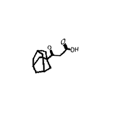 O=C(O)CC(=O)C12CC3CC(CC(C3)C1)C2